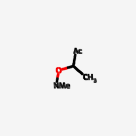 CNOC(C)C(C)=O